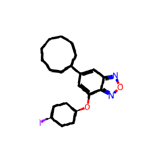 I[C@H]1CC[C@@H](Oc2cc(C3CCCCCCCC3)cc3nonc23)CC1